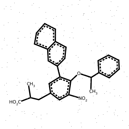 CC(Cc1cc(-c2ccc3ccccc3c2)c(OC(C)c2ccccc2)c([N+](=O)[O-])c1)C(=O)O